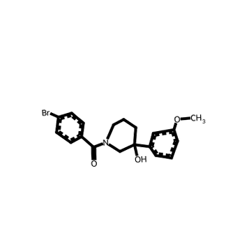 COc1cccc(C2(O)CCCN(C(=O)c3ccc(Br)cc3)C2)c1